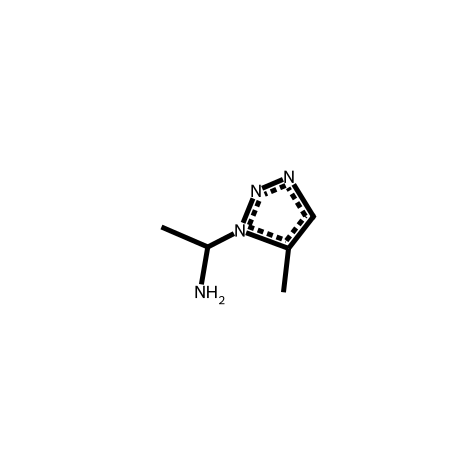 Cc1cnnn1C(C)N